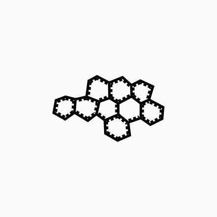 c1ccc2c(c1)cc1c3cccc4c5cccc6ccc7cc8ccc2c1c8c(c43)c7c65